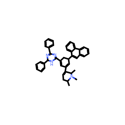 CC1CC=C(C2=CC(c3cc4ccccc4c4ccccc34)CC(C3=NC(c4ccccc4)=NC(c4ccccc4)N3)=C2)C(C)N1C